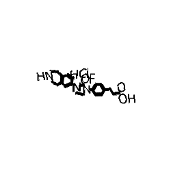 Cl.O=C(O)CCc1ccc(N2CCN(c3ccc4c(c3)CCNCC4)C2=O)c(F)c1